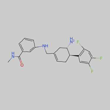 CNC(=O)c1cccc(NCC2=CC[C@H](c3cc(F)c(F)cc3F)[C@@H](N)C2)c1